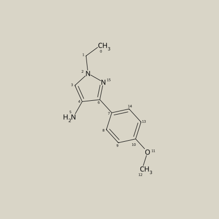 CCn1cc(N)c(-c2ccc(OC)cc2)n1